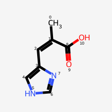 CC(=Cc1c[nH]cn1)C(=O)O